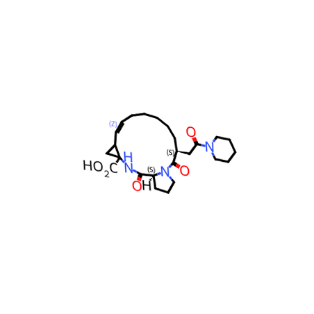 O=C1NC2(C(=O)O)CC2/C=C\CCCCC[C@@H](CC(=O)N2CCCCC2)C(=O)N2CCC[C@@H]12